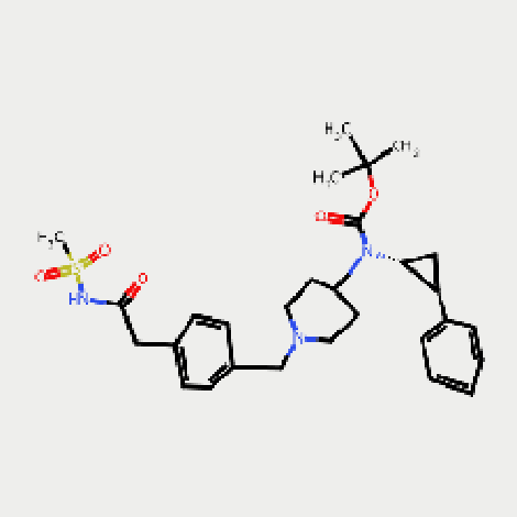 CC(C)(C)OC(=O)N(C1CCN(Cc2ccc(CC(=O)NS(C)(=O)=O)cc2)CC1)[C@@H]1C[C@H]1c1ccccc1